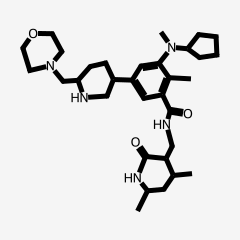 Cc1c(C(=O)NCC2C(=O)NC(C)CC2C)cc(C2CCC(CN3CCOCC3)NC2)cc1N(C)C1CCCC1